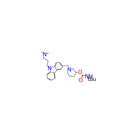 CN(C)CCCn1c2ccccc2c2cc(CN3CCCC(OC(=O)NC(C)(C)C)C3)ccc21